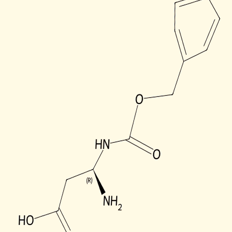 N[C@@H](CC(=O)O)NC(=O)OCc1ccccc1